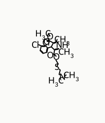 COC(=O)C1=C(C)NC(C)=C(C(=O)OCCSCCN(C)C)C1c1cccc(Cl)c1Cl